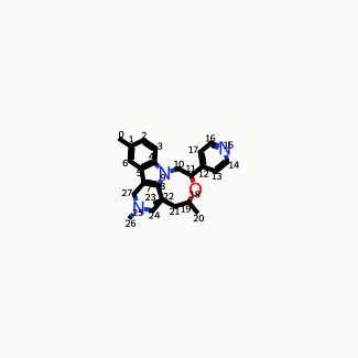 Cc1ccc2c(c1)c1c3n2CC(c2ccncc2)OC(C)CC3(C)CN(C)C1